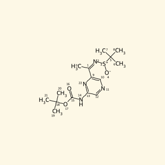 C/C(=N/[S+]([O-])C(C)(C)C)c1cncc(NC(=O)OC(C)(C)C)n1